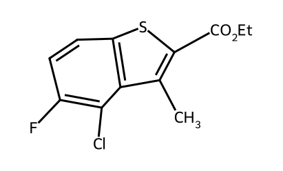 CCOC(=O)c1sc2ccc(F)c(Cl)c2c1C